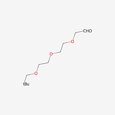 CC(C)(C)COCCOCCOCC=O